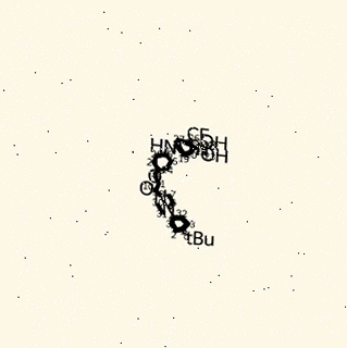 CC(C)(C)c1ccc(N2CCN(C(=O)COC3CCC(Nc4ccc(N(O)O)c(C(F)(F)F)c4)CC3)CC2)cc1